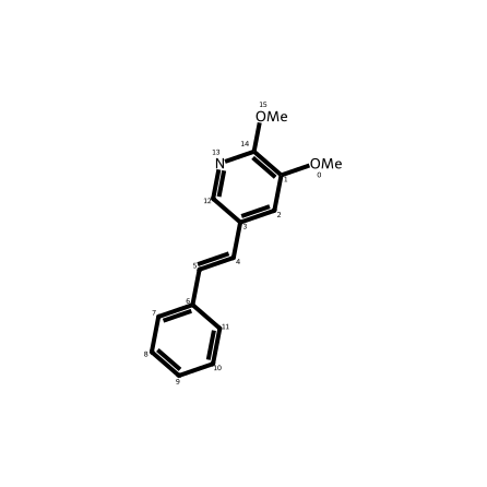 COc1cc(C=Cc2ccccc2)cnc1OC